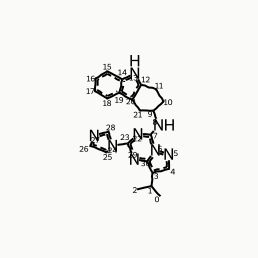 CC(C)c1cnn2c(NC3CCc4[nH]c5ccccc5c4C3)nc(-n3ccnc3)nc12